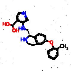 Cc1ccccc1Oc1ccc2c(c1)CCN[C@@H]2CNc1cnccc1C(O)O